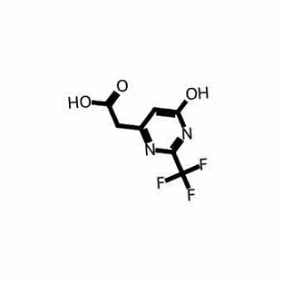 O=C(O)Cc1cc(O)nc(C(F)(F)F)n1